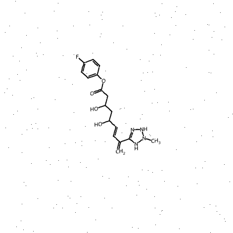 C=C(C=CC(O)CC(O)CC(=O)Oc1ccc(F)cc1)C1=NNN(C)N1